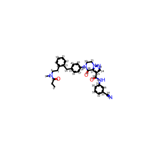 CCC(=O)N(C)CCc1ccccc1Cc1ccc(N2CCn3ncc(C(=O)Nc4cccc(C#N)c4)c3C2=O)cc1